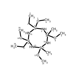 CC[Si]1(OC)N[Si](C)(OC)N[Si](C)(OC)N[Si](CC)(OC)N1